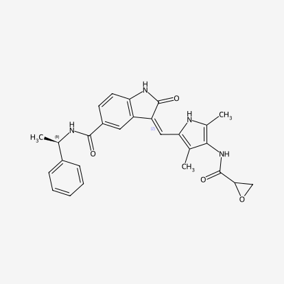 Cc1[nH]c(/C=C2\C(=O)Nc3ccc(C(=O)N[C@H](C)c4ccccc4)cc32)c(C)c1NC(=O)C1CO1